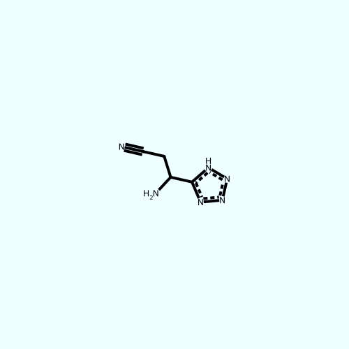 N#CCC(N)c1nnn[nH]1